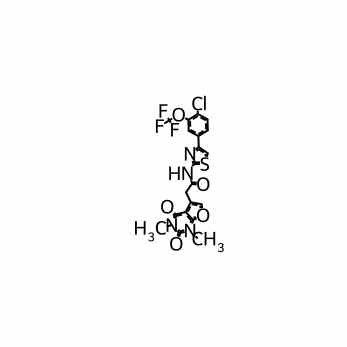 Cn1c(=O)c2c(CC(=O)Nc3nc(-c4ccc(Cl)c(OC(F)(F)F)c4)cs3)coc2n(C)c1=O